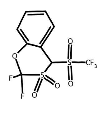 O=S(=O)(C1c2ccccc2OC(F)(F)S1(=O)=O)C(F)(F)F